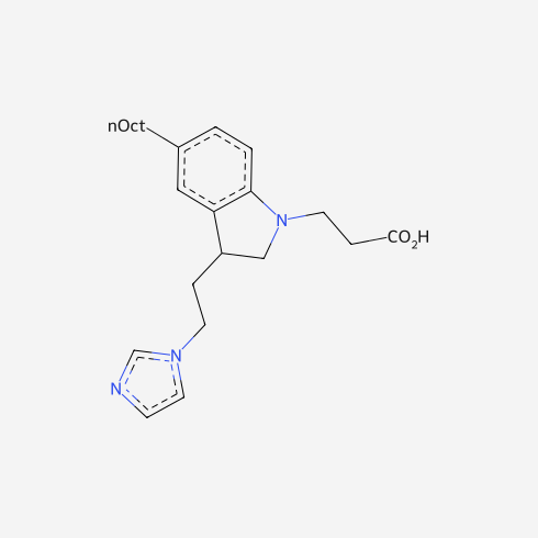 CCCCCCCCc1ccc2c(c1)C(CCn1ccnc1)CN2CCC(=O)O